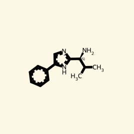 CC(C)[C@H](N)c1ncc(-c2ccccc2)[nH]1